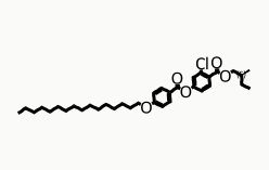 CCCCCCCCCCCCCCCCOc1ccc(C(=O)Oc2ccc(C(=O)OC[C@@H](C)CC)c(Cl)c2)cc1